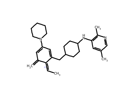 C=c1cc(N2CCCCC2)cc(CC2CCC(Nc3cc(C)cnc3C)CC2)/c1=C\C